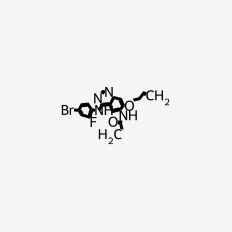 C=CCCOc1cc2ncnc(Nc3ccc(Br)cc3F)c2cc1NC(=O)C=C